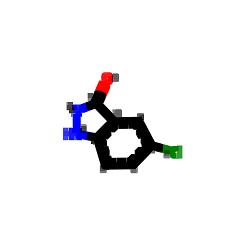 O=C1[N]Nc2ccc(Cl)cc21